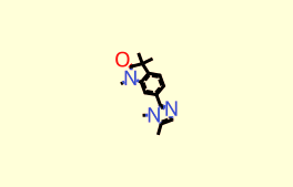 Cc1cnc(-c2ccc3c(c2)N(C)C(=O)C3(C)C)n1C